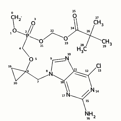 [CH2]OP(=O)(COC1(Cn2cnc3c(Cl)nc(N)nc32)CC1)OCOC(=O)C(C)(C)C